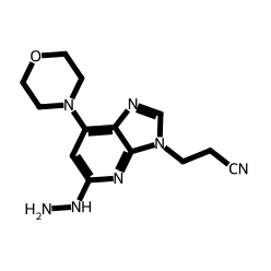 N#CCCn1cnc2c(N3CCOCC3)cc(NN)nc21